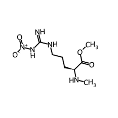 CN[C@@H](CCCNC(=N)N[N+](=O)[O-])C(=O)OC